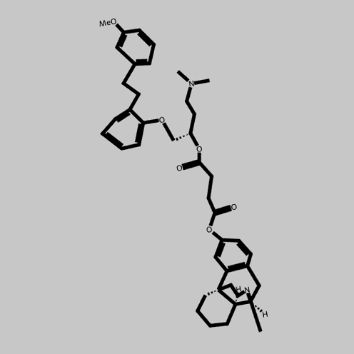 COc1cccc(CCc2ccccc2OC[C@H](CCN(C)C)OC(=O)CCC(=O)Oc2ccc3c(c2)[C@]24CCCC[C@@H]2[C@H](C3)N(C)CC4)c1